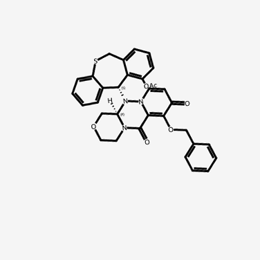 CC(=O)Oc1cccc2c1[C@H](N1[C@@H]3COCCN3C(=O)c3c(OCc4ccccc4)c(=O)ccn31)c1ccccc1SC2